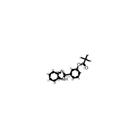 CC(C)(C)C(=O)Oc1cccc(-c2nc3ccccc3[nH]2)c1